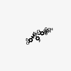 COc1cc(C(C)(C)c2cnc(SCc3ccc(S(=O)(=O)NC(=O)O)cc3Cl)n2-c2ccc(F)cc2)ccc1Cl